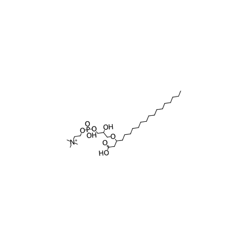 CCCCCCCCCCCCCCCCC(CC(=O)O)OCC(O)COP(=O)(O)OCC[N+](C)(C)C